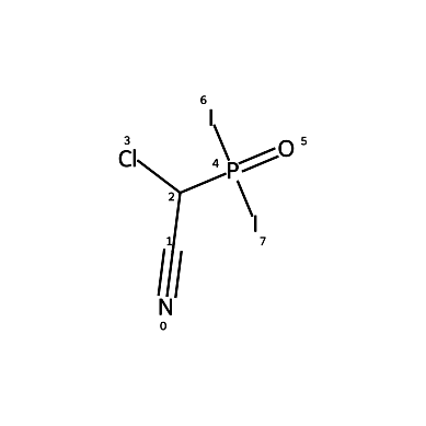 N#CC(Cl)P(=O)(I)I